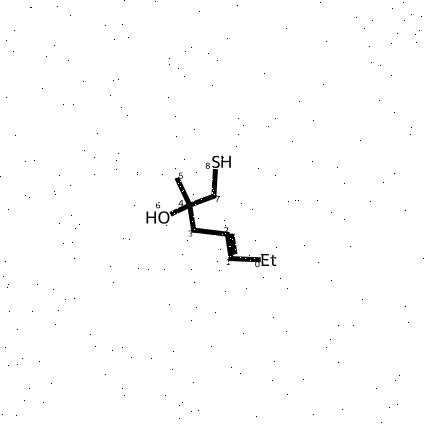 CC/C=C/CC(C)(O)CS